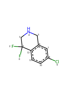 FC1(F)CNCc2cc(Cl)ccc21